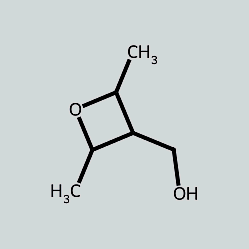 CC1OC(C)C1CO